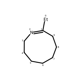 CC/C1=N/CCCCCCC1